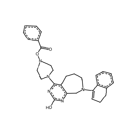 O=C(ON1CCN(c2nc(O)nc3c2CCCN(C2=CCCc4ccccc42)C3)CC1)c1ccccc1